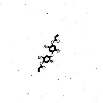 C=CC(=O)Oc1cc(Br)c(Sc2cc(Br)c(OC(=O)C=C)cc2Br)cc1Br